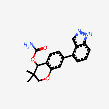 CC1(C)COc2cc(-c3cccc4[nH]ncc34)ccc2C1OC(N)=O